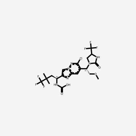 COC[C@H](c1cc2nc([C@H](CC(C)(C)C(F)(F)F)NC(=O)O)cn2nc1Cl)N1CC(C(F)(F)F)NC1=O